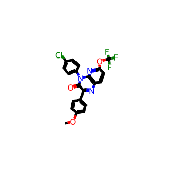 COc1ccc(-c2nc3ccc(OC(F)(F)F)nc3n(-c3ccc(Cl)cc3)c2=O)cc1